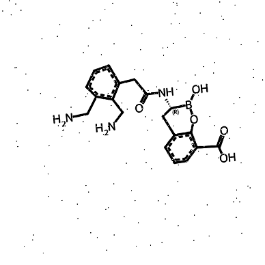 NCc1cccc(CC(=O)N[C@H]2Cc3cccc(C(=O)O)c3OB2O)c1CN